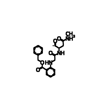 CNC(=O)CC([C]=O)NC(=O)CNc1ccccc1C(=O)OCc1ccccc1